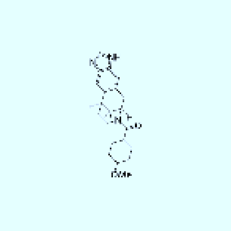 COC1CCC(C(=O)N2CC[C@@]3(C)c4cc5nc[nH]c5cc4C[C@@H]2C3(C)C)CC1